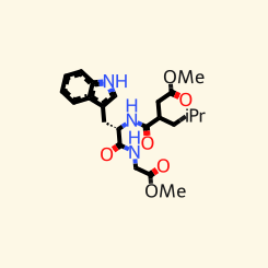 COC(=O)CNC(=O)[C@H](Cc1c[nH]c2ccccc12)NC(=O)C(CC(=O)OC)CC(C)C